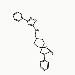 O=C1OC2(CCC(CNc3cc(-c4ccccc4)no3)CC2)CN1c1ccccc1